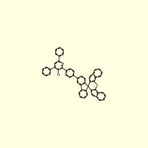 CCc1c(-c2ccccc2)cc(-c2ccccc2)nc1-c1ccc(-c2ccc3c(c2)-c2ccccc2C32c3ccc4ccccc4c3Sc3c2ccc2ccccc32)cc1